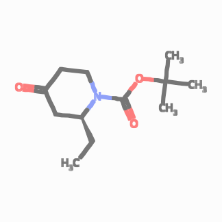 CC[C@H]1CC(=O)CCN1C(=O)OC(C)(C)C